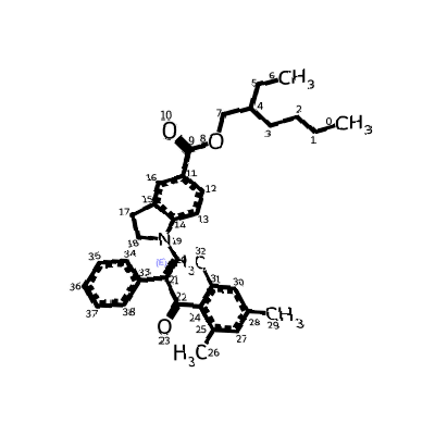 CCCCC(CC)COC(=O)c1ccc2c(c1)CCN2/C=C(/C(=O)c1c(C)cc(C)cc1C)c1ccccc1